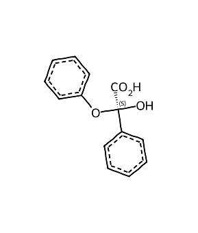 O=C(O)[C@@](O)(Oc1ccccc1)c1ccccc1